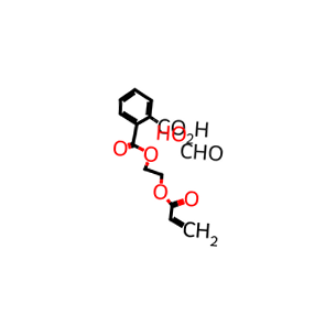 C=CC(=O)OCCOC(=O)c1ccccc1C(=O)O.O=CO